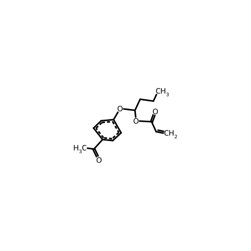 C=CC(=O)OC(CCC)Oc1ccc(C(C)=O)cc1